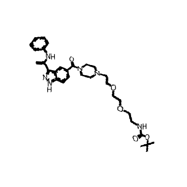 C=C(Nc1ccccc1)c1n[nH]c2ccc(C(=O)N3CCN(CCOCCOCCNC(=O)OC(C)(C)C)CC3)cc12